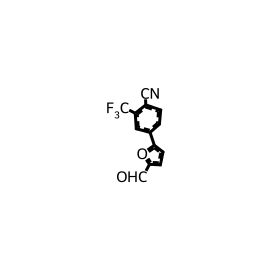 N#Cc1ccc(-c2ccc(C=O)o2)cc1C(F)(F)F